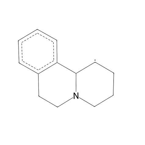 [CH]1CCCN2CCc3ccccc3C12